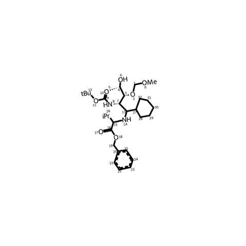 COCO[C@@H]([C@H](C)O)[C@@H](NC(=O)OC(C)(C)C)C(NC(C(=O)OCc1ccccc1)C(C)C)C1CCCCC1